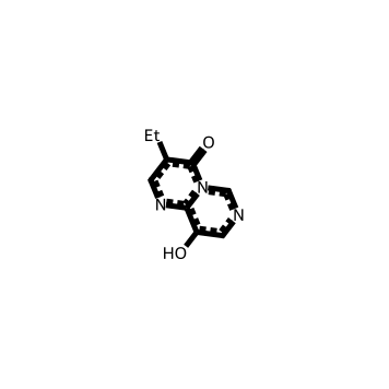 CCc1cnc2c(O)cncn2c1=O